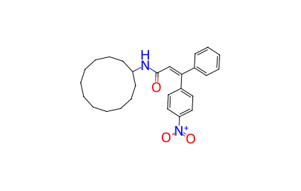 O=C(/C=C(/c1ccccc1)c1ccc([N+](=O)[O-])cc1)NC1CCCCCCCCCCC1